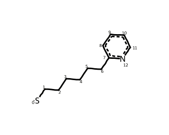 [S]CCCCCCc1ccccn1